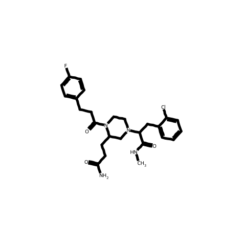 CNC(=O)C(Cc1ccccc1Cl)N1CCN(C(=O)[CH]Cc2ccc(F)cc2)C(CCC(N)=O)C1